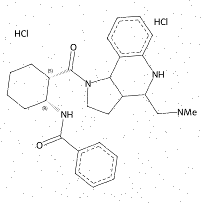 CNCC1Nc2ccccc2C2C1CCN2C(=O)[C@H]1CCCC[C@H]1NC(=O)c1ccccc1.Cl.Cl